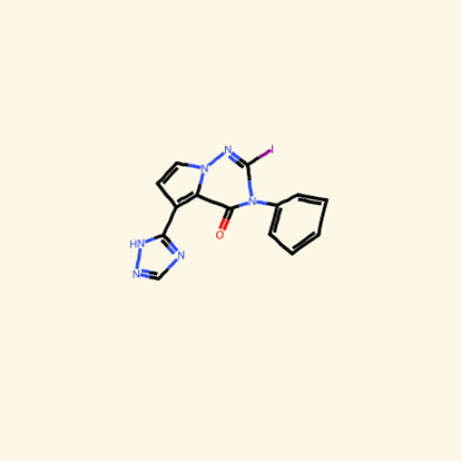 O=c1c2c(-c3ncn[nH]3)ccn2nc(I)n1-c1ccccc1